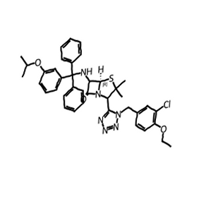 CCOc1ccc(Cn2nnnc2C2N3C(=O)C(NC(c4ccccc4)(c4ccccc4)c4cccc(OC(C)C)c4)[C@H]3SC2(C)C)cc1Cl